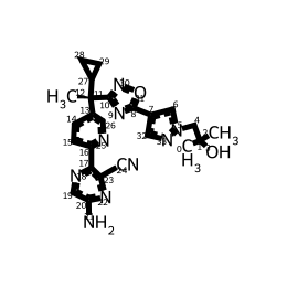 CC(C)(O)Cn1cc(-c2nc([C@](C)(c3ccc(-c4ncc(N)nc4C#N)nc3)C3CC3)no2)cn1